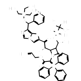 C=CCOC(=O)C(N1C(=O)C([C@@H](C)O[Si](C)(C)C(C)(C)C)C1[C@@H](C)C(=O)c1cn2cnc(C(O[Si](CC)(CC)CC)c3cccnc3)c2s1)=P(c1ccccc1)(c1ccccc1)c1ccccc1